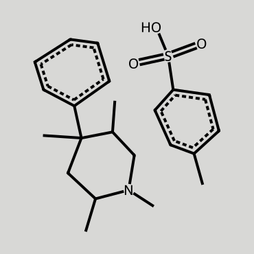 CC1CC(C)(c2ccccc2)C(C)CN1C.Cc1ccc(S(=O)(=O)O)cc1